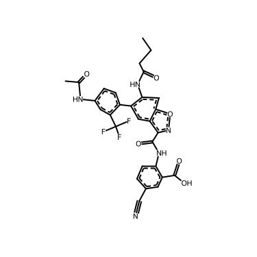 CCCC(=O)Nc1cc2onc(C(=O)Nc3ccc(C#N)cc3C(=O)O)c2cc1-c1ccc(NC(C)=O)cc1C(F)(F)F